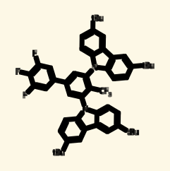 CC(C)(C)c1ccc2c(c1)c1cc(C(C)(C)C)ccc1n2-c1cc(-c2cc(F)c(F)c(F)c2)cc(-n2c3ccc(C(C)(C)C)cc3c3cc(C(C)(C)C)ccc32)c1C(F)(F)F